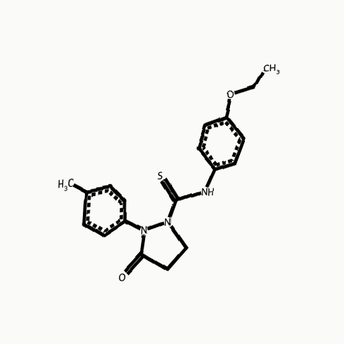 CCOc1ccc(NC(=S)N2CCC(=O)N2c2ccc(C)cc2)cc1